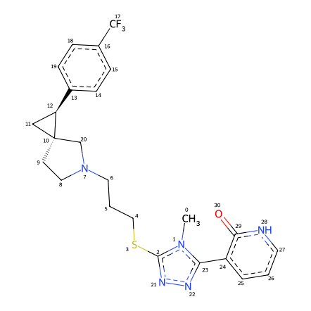 Cn1c(SCCCN2CC[C@@]3(C[C@H]3c3ccc(C(F)(F)F)cc3)C2)nnc1-c1ccc[nH]c1=O